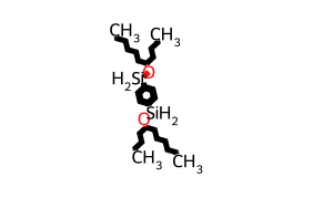 CCCCCCC(CCCC)O[SiH2]c1ccc([SiH2]OC(CCCC)CCCCCC)cc1